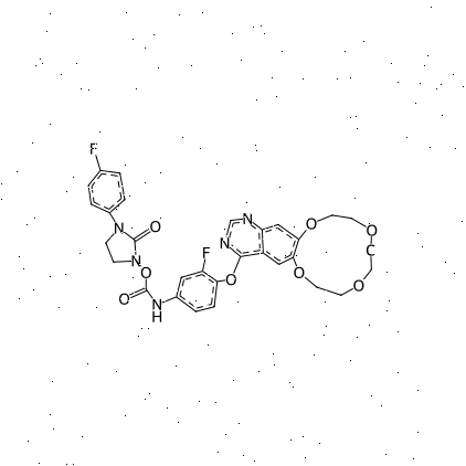 O=C(Nc1ccc(Oc2ncnc3cc4c(cc23)OCCOCCOCCO4)c(F)c1)ON1CCN(c2ccc(F)cc2)C1=O